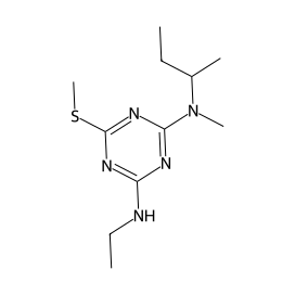 CCNc1nc(SC)nc(N(C)C(C)CC)n1